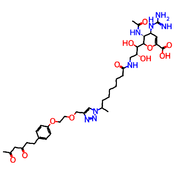 CC(=O)CC(=O)CCc1ccc(OCCOCc2cn(C(C)CCCCCCC(=O)NC[C@@H](O)C(O)C3OC(C(=O)O)=C[C@H](NC(=N)N)[C@H]3NC(C)=O)nn2)cc1